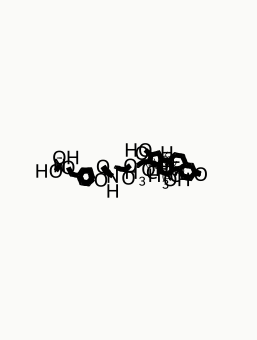 C[C@]12C=CC(=O)C=C1CC[C@H]1[C@@H]3CC(O)[C@](O)(C(=O)COC(=O)CNC(=O)Oc4ccc(CON(O)O)cc4)[C@@]3(C)C[C@H](O)[C@@]12F